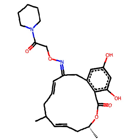 CC1/C=C/C[C@@H](C)OC(=O)c2c(O)cc(O)cc2CC(=N/OCC(=O)N2CCCCC2)/C=C/C1